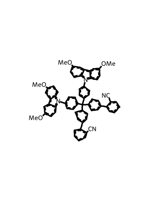 COc1ccc2c(c1)c1cc(OC)ccc1n2-c1ccc(C(c2ccc(-c3ccccc3C#N)cc2)(c2ccc(-c3ccccc3C#N)cc2)c2ccc(-n3c4ccc(OC)cc4c4cc(OC)ccc43)cc2)cc1